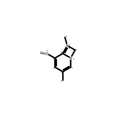 COC1=CC(C)=CN2C[N+](C)=C12